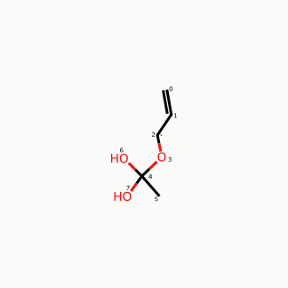 C=C[CH]OC(C)(O)O